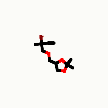 CC(Br)([C]=O)COCC1COC(C)(C)O1